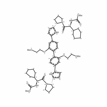 COCCOc1cc(-c2cnc([C@@H]3CCCN3C(=O)[C@@H](NC(=O)OC)C3CCCCC3)[nH]2)ccc1-c1ccc(-c2cnc([C@@H]3CCCN3C(=O)[C@@H](NC(=O)OC)C3CCCCC3)[nH]2)cc1OCCOC